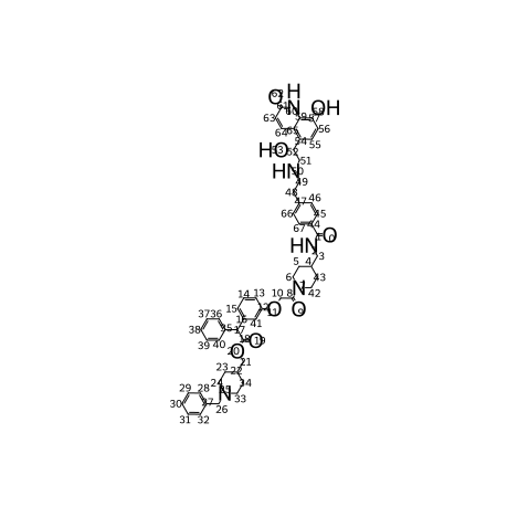 O=C(NCC1CCN(C(=O)COc2cccc(C(C(=O)OCC3CCN(Cc4ccccc4)CC3)c3ccccc3)c2)CC1)c1ccc(CCNC[C@H](O)c2ccc(O)c3[nH]c(=O)ccc23)cc1